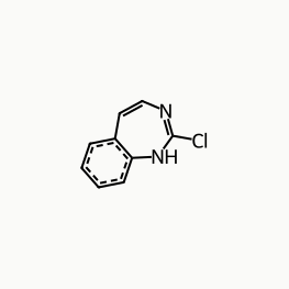 ClC1=NC=Cc2ccccc2N1